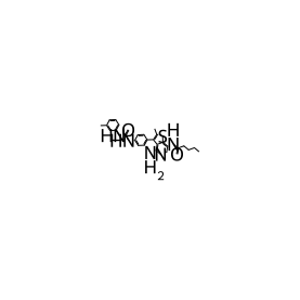 CCCCC(=O)Nc1cnc(N)c2c(-c3ccc(NC(=O)Nc4cccc(C)c4)cc3)c(C)sc12